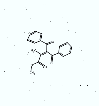 COC(=O)C(C)=C(C(=O)c1ccccc1)C(=O)c1ccccc1